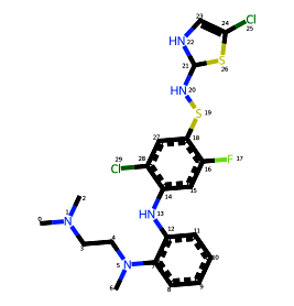 CN(C)CCN(C)c1ccccc1Nc1cc(F)c(SNC2NC=C(Cl)S2)cc1Cl